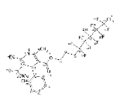 COC(=O)C1=C(C)NC(C)=C(C(=O)OCCCC(F)(F)C(F)(F)C(F)(F)C(F)(F)C(F)(F)C(F)(F)F)C1c1ccccc1Cl